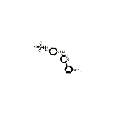 CCS(=O)(=O)NC[C@H]1CC[C@H](Nc2ccc(-c3cccc(C(F)(F)F)c3)nn2)CC1